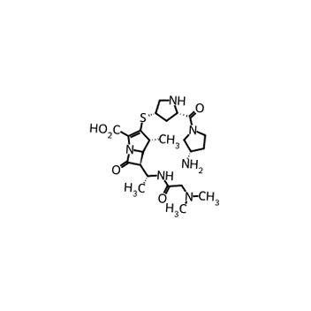 C[C@H]1C(S[C@@H]2CN[C@H](C(=O)N3CC[C@H](N)C3)C2)=C(C(=O)O)N2C(=O)[C@H]([C@@H](C)NC(=O)CN(C)C)C12